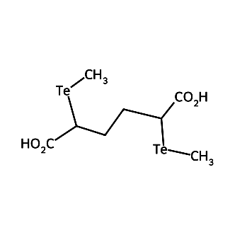 C[Te]C(CCC([Te]C)C(=O)O)C(=O)O